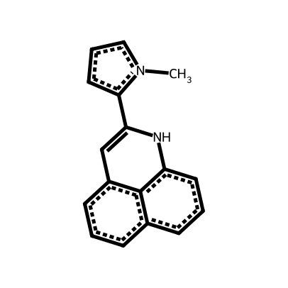 Cn1cccc1C1=Cc2cccc3cccc(c23)N1